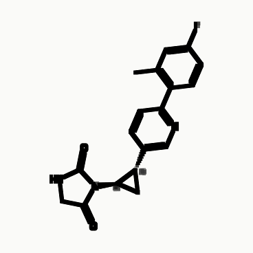 Cc1cc(F)ccc1-c1ccc([C@@H]2C[C@H]2N2C(=O)CNC2=O)cn1